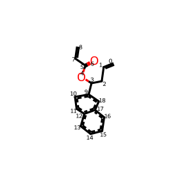 C=CCC(OC(=O)C=C)c1ccc2ccccc2c1